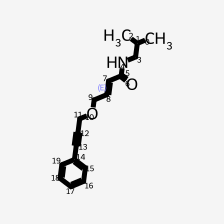 CC(C)CNC(=O)/C=C/COCC#Cc1ccccc1